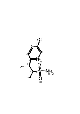 C[C@H](c1ccc(Cl)cn1)[C@H](C)S(N)(=O)=O